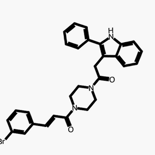 O=C(/C=C/c1cccc(Br)c1)N1CCN(C(=O)Cc2c(-c3ccccc3)[nH]c3ccccc23)CC1